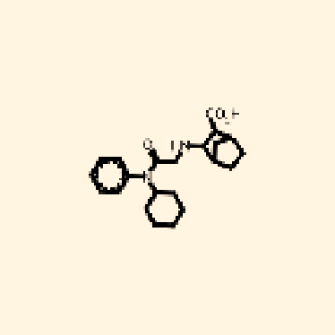 O=C(O)C1C2CCC(C2)C1NCC(=O)N(c1ccccc1)C1CCCCC1